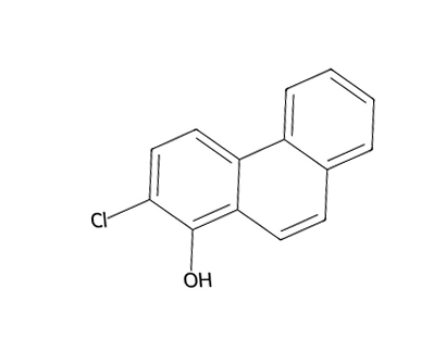 Oc1c(Cl)ccc2c1ccc1ccccc12